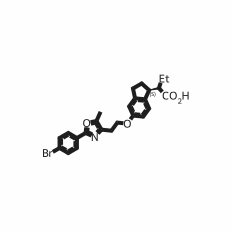 CCC(C(=O)O)[C@@H]1CCc2cc(OCCc3nc(-c4ccc(Br)cc4)oc3C)ccc21